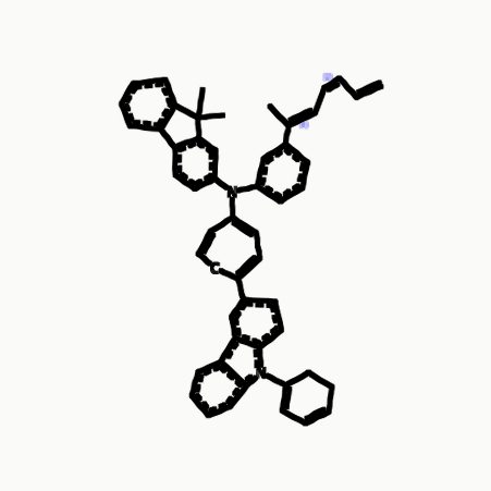 C=C/C=C\C=C(/C)c1cccc(N(C2=CC=C(c3ccc4c(c3)c3ccccc3n4C3=CC=CCC3)CC=C2)c2ccc3c(c2)C(C)(C)c2ccccc2-3)c1